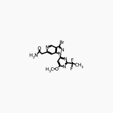 COc1cc(-n2nc(Br)c3cnc(CC(N)=O)cc32)nc(C(C)(F)F)n1